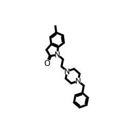 Cc1ccc2c(c1)CC(=O)N2CCN1CCN(Cc2ccccc2)CC1